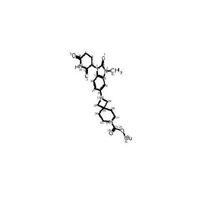 Cn1c(=O)n(C2CCC(=O)NC2=O)c2ccc(N3CC4(CCN(C(=O)OC(C)(C)C)CC4)C3)cc21